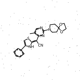 Cc1cnc(N2CCC3(CC2)OCCO3)nc1C(C#N)=C1NC(c2ccccc2)=CS1